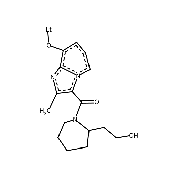 CCOc1cccn2c(C(=O)N3CCCCC3CCO)c(C)nc12